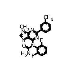 Cc1cccc(-c2nc(N(C(N)=O)c3c(F)cccc3F)c3ncn(C)c3n2)c1